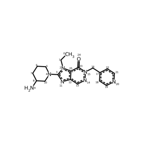 CCn1c(N2CCCC(N)C2)nc2cnn(Cc3ccncc3)c(=O)c21